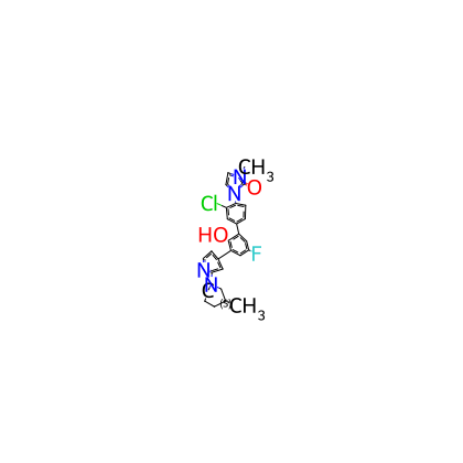 C[C@H]1CCCN(c2cc(-c3cc(F)cc(-c4ccc(-n5ccn(C)c5=O)c(Cl)c4)c3O)ccn2)C1